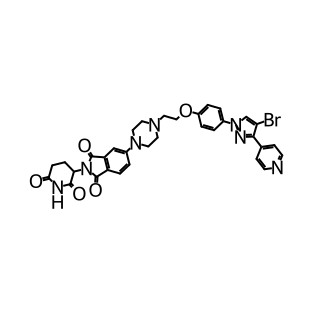 O=C1CCC(N2C(=O)c3ccc(N4CCN(CCOc5ccc(-n6cc(Br)c(-c7ccncc7)n6)cc5)CC4)cc3C2=O)C(=O)N1